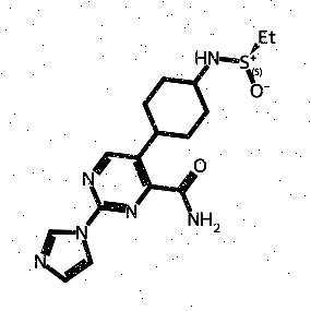 CC[S@@+]([O-])NC1CCC(c2cnc(-n3ccnc3)nc2C(N)=O)CC1